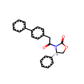 O=C(Cc1ccc(-c2ccccc2)cc1)N1C(=O)OC[C@@H]1c1ccccc1